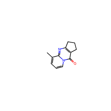 Cc1cccn2c(=O)c3c(nc12)CCC3